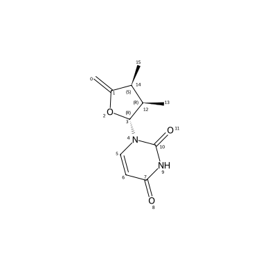 C=C1O[C@@H](n2ccc(=O)[nH]c2=O)[C@H](C)[C@@H]1C